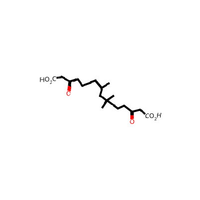 CC(CCCC(=O)CC(=O)O)CC(C)(C)CCC(=O)CC(=O)O